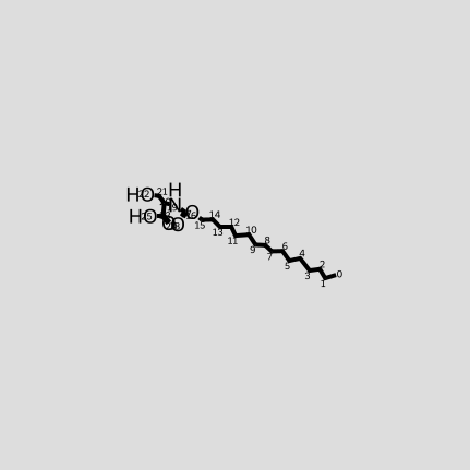 CCCCCCCCCCCCCCCCOC(=O)NC(CO)C(=O)O